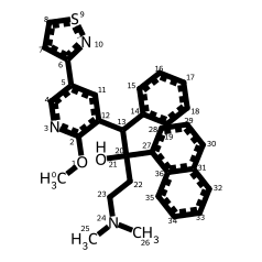 COc1ncc(-c2ccsn2)cc1C(c1ccccc1)C(O)(CCN(C)C)c1cccc2ccccc12